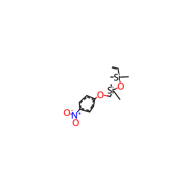 C=C[Si](C)(C)O[Si](C)(C)COc1ccc([N+](=O)[O-])cc1